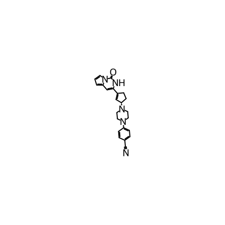 N#Cc1ccc(N2CCN([C@H]3C=C(c4cc5cccn5c(=O)[nH]4)CC3)CC2)cc1